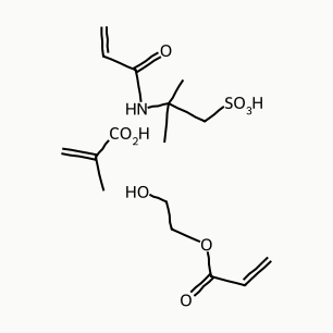 C=C(C)C(=O)O.C=CC(=O)NC(C)(C)CS(=O)(=O)O.C=CC(=O)OCCO